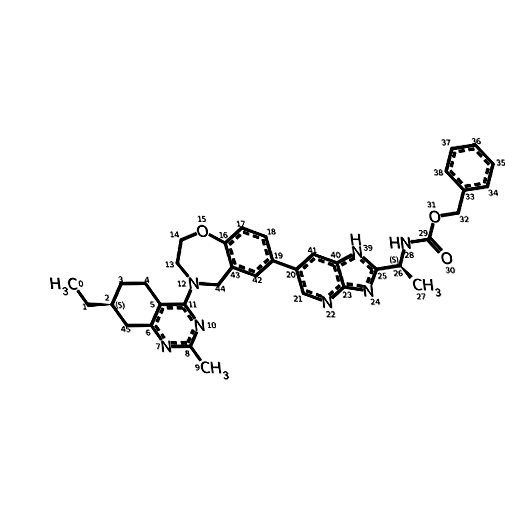 CC[C@H]1CCc2c(nc(C)nc2N2CCOc3ccc(-c4cnc5nc([C@H](C)NC(=O)OCc6ccccc6)[nH]c5c4)cc3C2)C1